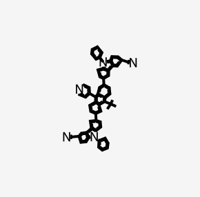 CC(C)(C)c1c2ccc(-c3ccc4c(c3)c3cc(C#N)ccc3n4-c3ccccc3)cc2c(-c2ccncc2)c2ccc(-c3ccc4c(c3)c3cc(C#N)ccc3n4-c3ccccc3)cc12